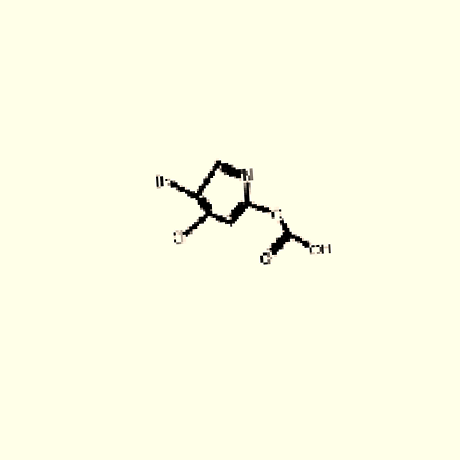 O=C(O)Oc1cc(Cl)c(Br)cn1